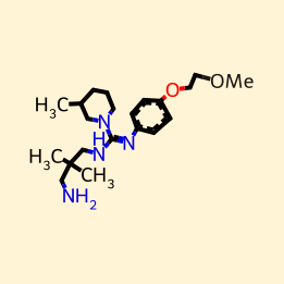 COCCOc1ccc(/N=C(/NCC(C)(C)CN)N2CCCC(C)C2)cc1